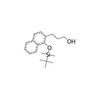 CC(C)(C)[Si](C)(C)Oc1c(CCCO)ccc2ccccc12